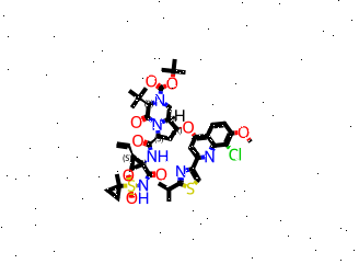 C=C[C@@H]1C[C@]1(NC(=O)[C@@H]1C[C@@H](Oc2cc(-c3csc(C(C)C)n3)nc3c(Cl)c(OC)ccc23)[C@H]2CN(C(=O)OC(C)(C)C)[C@H](C(C)(C)C)C(=O)N21)C(=O)NS(=O)(=O)C1(C)CC1